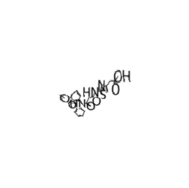 COc1ccccc1Oc1ccccc1NC(=O)CC(=O)Nc1nc(CC(=O)O)cs1